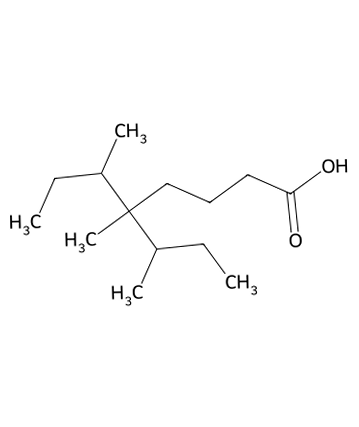 CCC(C)C(C)(CCCC(=O)O)C(C)CC